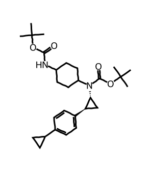 CC(C)(C)OC(=O)NC1CCC(N(C(=O)OC(C)(C)C)[C@@H]2C[C@H]2c2ccc(C3CC3)cc2)CC1